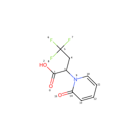 O=C(O)C(CC(F)(F)F)n1ccccc1=O